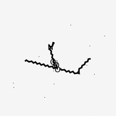 C#CCN(C)CCCCCCO[Si](C)(C)OC(CCCCCCCCCCCCCCC)OCCCCCCCCC1CC1CCCCCCCC